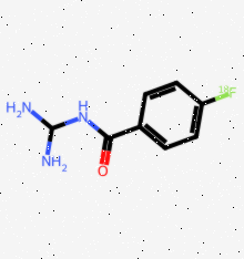 NC(N)NC(=O)c1ccc([18F])cc1